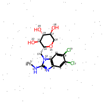 CC(C)Nc1nc2cc(Cl)c(Cl)cc2n1C[C@H]1OC[C@H](O)[C@@H](O)[C@@H]1O